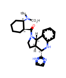 CC(C)(C)N(C(=O)O)[C@@H]1CCCC[C@@H]1C(=O)N1CC[C@@H]2[C@@H](c3ncc[nH]3)Nc3ccccc3[C@H]21